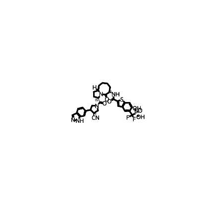 N#C[C@H]1CN(C(=O)[C@@H]2CC[C@@H]3CCCC[C@H](NC(=O)c4cc5cc(C(F)(F)P(=O)(O)O)ccc5s4)C(=O)N32)CC1c1ccc2cn[nH]c2c1